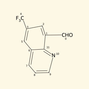 O=Cc1cc(C(F)(F)F)cc2cccnc12